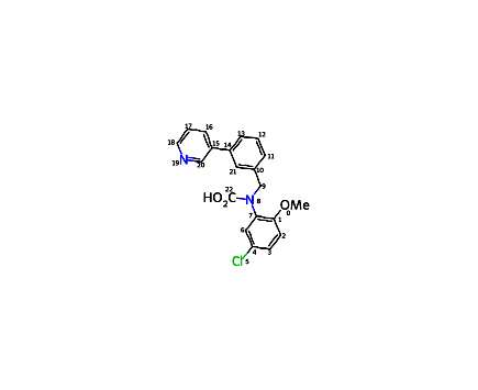 COc1ccc(Cl)cc1N(Cc1cccc(-c2cccnc2)c1)C(=O)O